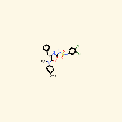 COc1ccc(N(C)C(=O)[C@H](Cc2ccccc2)NC(=O)NS(=O)(=O)Nc2ccc(Cl)c(Cl)c2)cc1